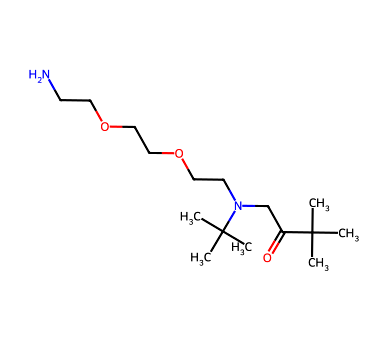 CC(C)(C)C(=O)CN(CCOCCOCCN)C(C)(C)C